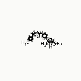 Cc1ccc(-c2csc(NC(=O)C[C@H]3CC[C@@H](NCC(C)(C)NC(=O)OC(C)(C)C)CC3)n2)cc1